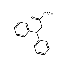 COC(=S)CC(c1ccccc1)c1ccccc1